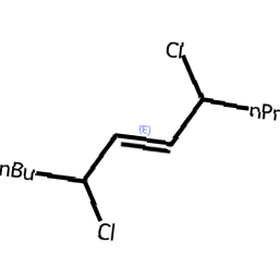 CCCCC(Cl)/C=C/C(Cl)CCC